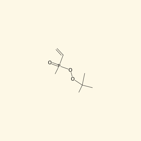 C=CP(C)(=O)OOC(C)(C)C